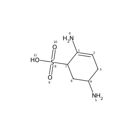 NC1=CCC(N)CC1S(=O)(=O)O